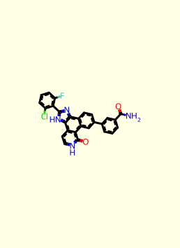 NC(=O)c1cccc(-c2ccc3c(c2)c2c(=O)[nH]ccc2c2[nH]c(-c4c(F)cccc4Cl)nc32)c1